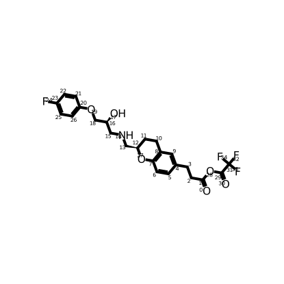 O=C(CCc1ccc2c(c1)CC[C@H](CNC[C@H](O)COc1ccc(F)cc1)O2)OC(=O)C(F)(F)F